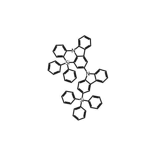 c1ccc([Si](c2ccccc2)(c2ccccc2)c2ccc3c(c2)c2ccccc2n3-c2cc3c4c(c2)c2ccccc2n4-c2ccccc2[Si]3(c2ccccc2)c2ccccc2)cc1